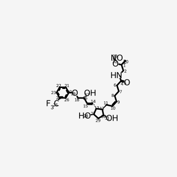 CC(CNC(=O)CCC/C=C\C[C@@H]1[C@@H](/C=C/[C@@H](O)COc2cccc(C(F)(F)F)c2)[C@H](O)C[C@@H]1O)O[N+](=O)[O-]